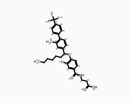 CCCCCCC(Oc1ccc(C(=O)NCCC(=O)O)cc1F)c1ccc(-c2ccc(C(F)(F)F)cc2)c(C)c1